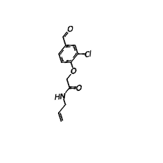 C=CCNC(=O)COc1ccc(C=O)cc1Cl